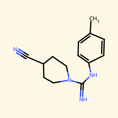 Cc1ccc(NC(=N)N2CCC(C#N)CC2)cc1